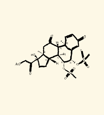 CC(=O)OCC(=O)[C@@]1(O)CC[C@H]2[C@@H]3[C@@H](OS(C)(=O)=O)[C@@H](OS(C)(=O)=O)C4=CC(=O)C=C[C@]4(C)[C@H]3C(=O)C[C@@]21C